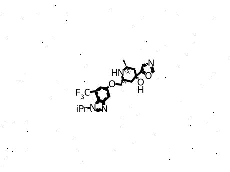 CC(C)n1cnc2cc(OC[C@@H]3C[C@@](O)(c4cnco4)C[C@H](C)N3)cc(C(F)(F)F)c21